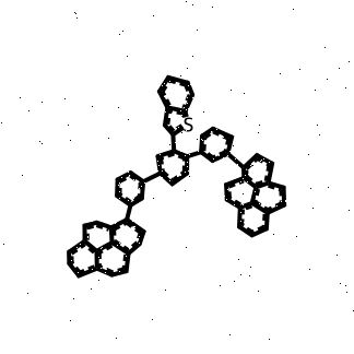 c1cc(-c2ccc(-c3cccc(-c4ccc5ccc6cccc7ccc4c5c67)c3)c(-c3cc4ccccc4s3)c2)cc(-c2ccc3ccc4cccc5ccc2c3c45)c1